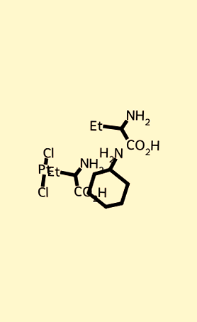 CCC(N)C(=O)O.CCC(N)C(=O)O.NC1CCCCC1.[Cl][Pt][Cl]